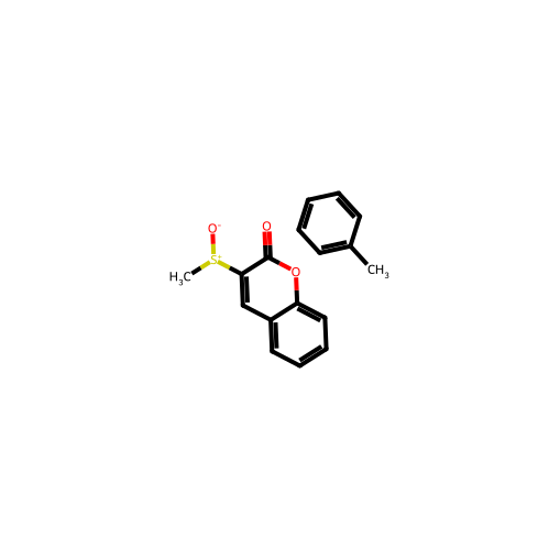 C[S+]([O-])c1cc2ccccc2oc1=O.Cc1ccccc1